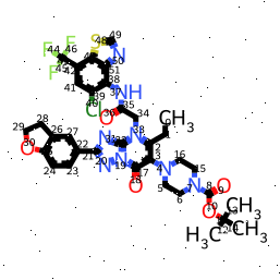 CCc1c(N2CCN(C(=O)OC(C)(C)C)CC2)c(=O)n2nc(-c3ccc4c(c3)CCO4)nc2n1CC(=O)Nc1c(Cl)cc(C(F)(F)F)c2scnc12